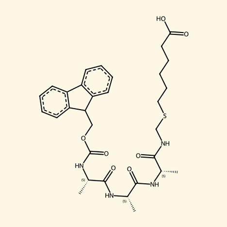 C[C@H](NC(=O)OCC1c2ccccc2-c2ccccc21)C(=O)N[C@@H](C)C(=O)N[C@@H](C)C(=O)NCSCCCCCC(=O)O